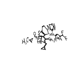 C[C@@H]1C[C@H]1C(=O)Nc1sc2c(c1C(=O)NCC1CC1)C[C@@H](n1cnnc1Nc1cc(C(F)F)nn1C)CC2